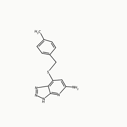 Cc1ccc(CSc2cc(N)nc3[nH]nnc23)cc1